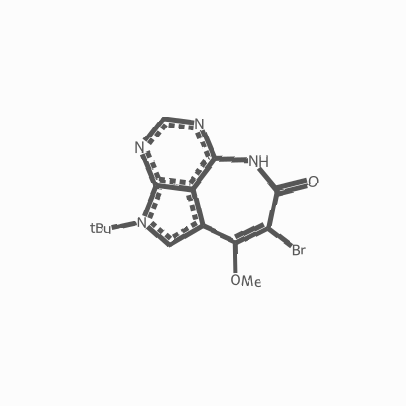 COC1=C(Br)C(=O)Nc2ncnc3c2c1cn3C(C)(C)C